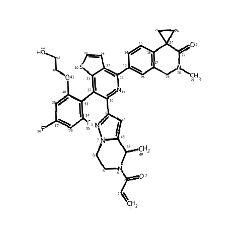 C=CC(=O)N1CCn2nc(-c3nc(-c4ccc5c(c4)CN(C)C(=O)C54CC4)c4ccsc4c3-c3c(F)cc(F)cc3OCCO)cc2C1C